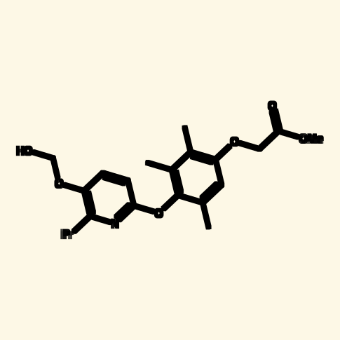 COC(=O)COc1cc(C)c(Oc2ccc(OCO)c(C(C)C)n2)c(C)c1C